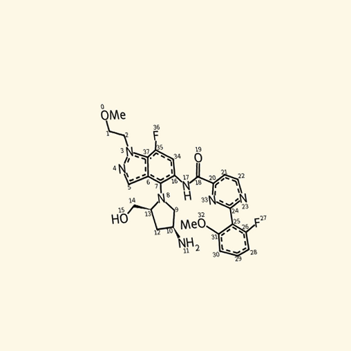 COCCn1ncc2c(N3C[C@@H](N)C[C@H]3CO)c(NC(=O)c3ccnc(-c4c(F)cccc4OC)n3)cc(F)c21